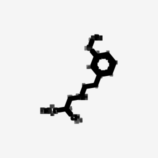 CCCCOc1cccc(CCNCC(C)C(=O)OCC)c1